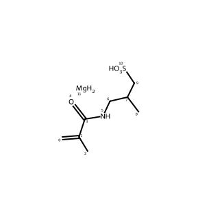 C=C(C)C(=O)NCC(C)CS(=O)(=O)O.[MgH2]